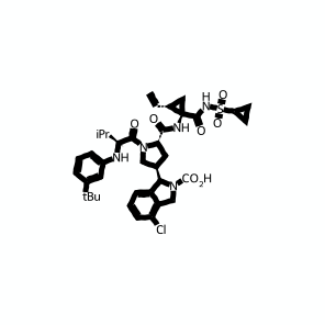 C=C[C@@H]1C[C@]1(NC(=O)[C@@H]1C[C@@H](C2c3cccc(Cl)c3CN2C(=O)O)CN1C(=O)[C@@H](Nc1cccc(C(C)(C)C)c1)C(C)C)C(=O)NS(=O)(=O)C1CC1